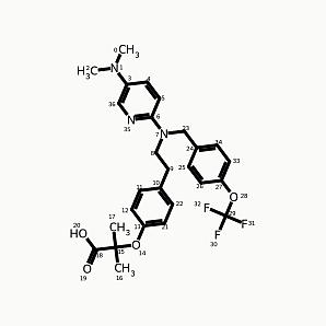 CN(C)c1ccc(N(CCc2ccc(OC(C)(C)C(=O)O)cc2)Cc2ccc(OC(F)(F)F)cc2)nc1